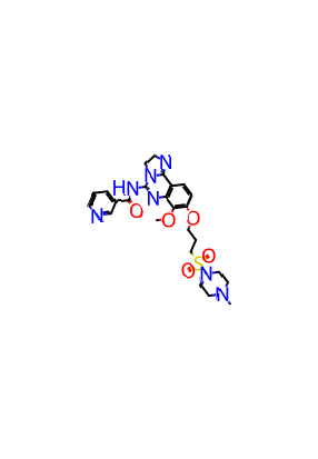 COc1c(OCCCS(=O)(=O)N2CCN(C)CC2)ccc2c1N=C(NC(=O)c1cccnc1)N1CCN=C21